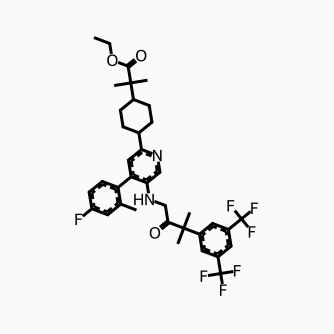 CCOC(=O)C(C)(C)C1CCC(c2cc(-c3ccc(F)cc3C)c(NCC(=O)C(C)(C)c3cc(C(F)(F)F)cc(C(F)(F)F)c3)cn2)CC1